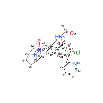 CC(=O)Nc1cc(Cl)c(-c2ccccn2)cc1C=CC(=O)N1C2CCC1CN(Cc1ccc(F)cc1)C2